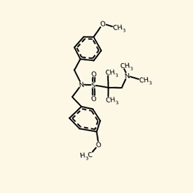 COc1ccc(CN(Cc2ccc(OC)cc2)S(=O)(=O)C(C)(C)CN(C)C)cc1